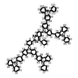 c1ccc(-c2nc(-c3cccc(-n4c5ccc(-c6ccc(-n7c8ccccc8c8ccccc87)cc6)cc5c5cc(-c6ccc7c(c6)c6ccccc6n7-c6ccccc6)ccc54)c3)nc3ccc(-n4c5ccc(-c6ccc7c(c6)c6ccccc6n7-c6ccccc6)cc5c5cc(-c6ccc7c(c6)c6ccccc6n7-c6ccccc6)ccc54)cc23)cc1